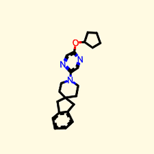 c1ccc2c(c1)CC1(CCN(c3cnc(OC4CCCC4)cn3)CC1)C2